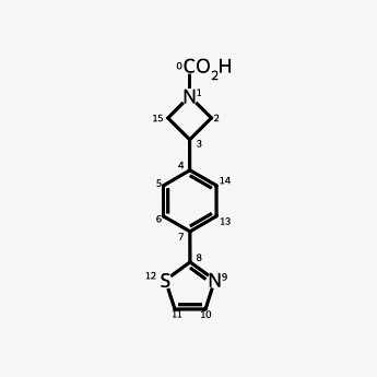 O=C(O)N1CC(c2ccc(-c3nccs3)cc2)C1